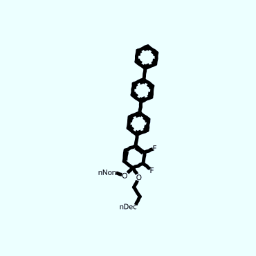 CCCCCCCCCCCCOC1(OCCCCCCCCC)C=CC(c2ccc(-c3ccc(-c4ccccc4)cc3)cc2)=C(F)C1F